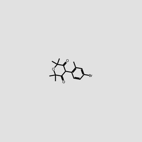 Cc1cc(Br)ccc1C1C(=O)C(C)(C)OC(C)(C)C1=O